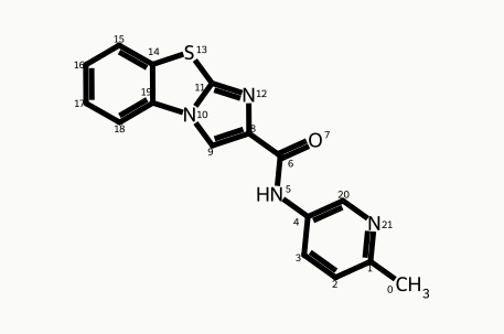 Cc1ccc(NC(=O)c2cn3c(n2)sc2ccccc23)cn1